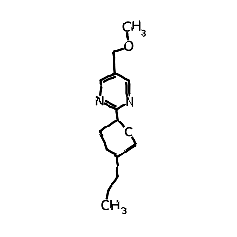 CCCC1CCC(c2ncc(COC)cn2)CC1